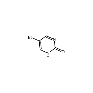 CCc1[c]nc(=O)[nH]c1